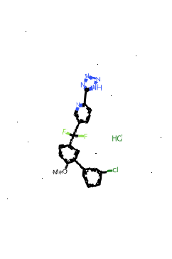 COc1ccc(C(F)(F)c2ccc(-c3nnn[nH]3)nc2)cc1-c1cccc(Cl)c1.Cl